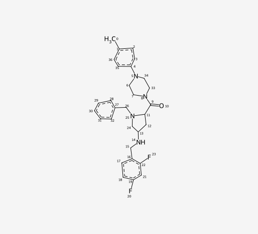 Cc1ccc(N2CCN(C(=O)C3CC(NCc4ccc(F)cc4F)CN3Cc3ccccc3)CC2)cc1